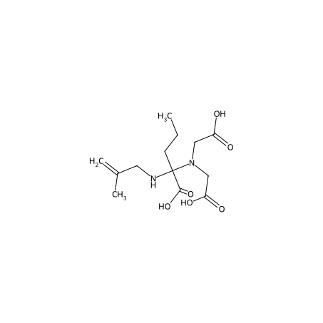 C=C(C)CNC(CCC)(C(=O)O)N(CC(=O)O)CC(=O)O